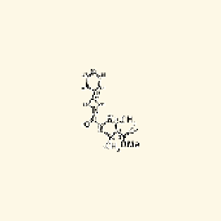 COC(=O)c1c(C)cc(C(=O)N2CC(c3ccccc3)C2)cc1C